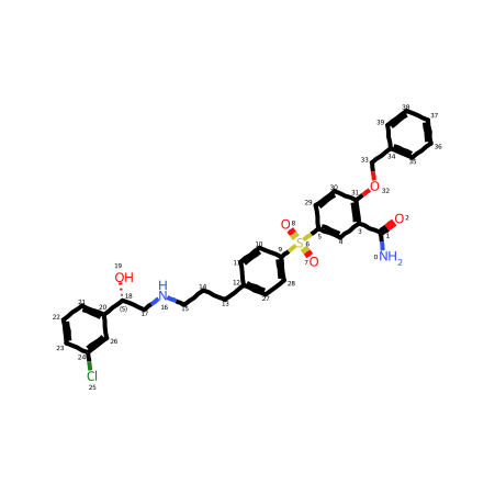 NC(=O)c1cc(S(=O)(=O)c2ccc(CCCNC[C@@H](O)c3cccc(Cl)c3)cc2)ccc1OCc1ccccc1